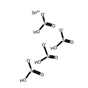 O=S([O-])O.O=S([O-])O.O=S([O-])O.O=S([O-])O.[Sn+4]